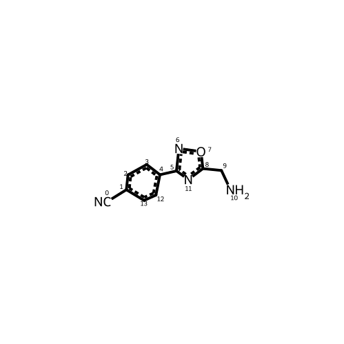 N#Cc1ccc(-c2noc(CN)n2)cc1